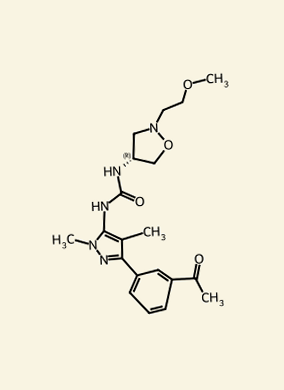 COCCN1C[C@@H](NC(=O)Nc2c(C)c(-c3cccc(C(C)=O)c3)nn2C)CO1